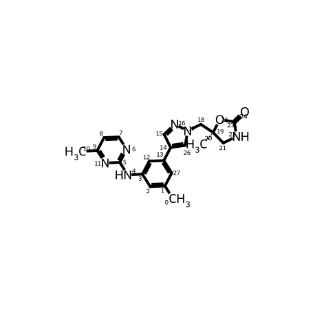 Cc1cc(Nc2nccc(C)n2)cc(-c2cnn(C[C@]3(C)CNC(=O)O3)c2)c1